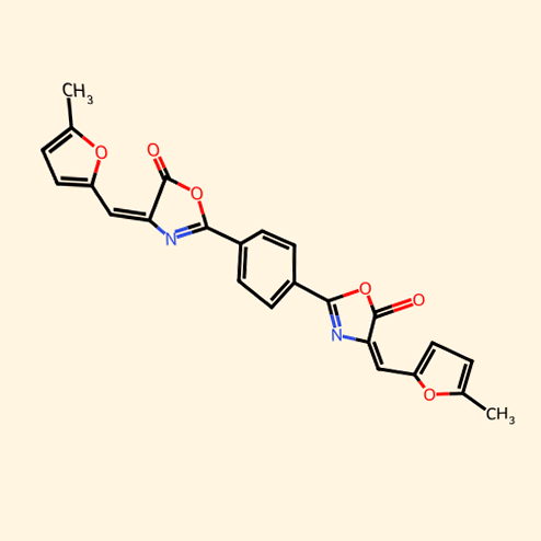 Cc1ccc(/C=C2/N=C(c3ccc(C4=N/C(=C/c5ccc(C)o5)C(=O)O4)cc3)OC2=O)o1